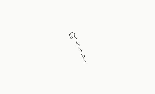 CCOCCCC=CCc1cccs1